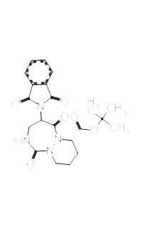 CC(C)(C)OC(=O)[C@@H]1CCCN2C(=O)NCC(N3C(=O)c4ccccc4C3=O)C(=O)N12